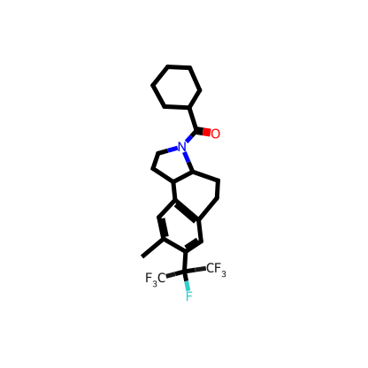 Cc1cc2c(cc1C(F)(C(F)(F)F)C(F)(F)F)CCC1C2CCN1C(=O)C1CCCCC1